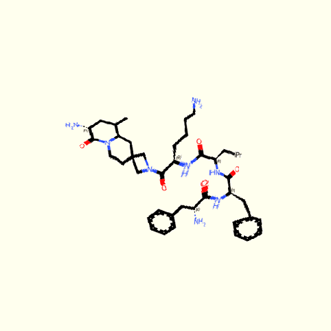 CC(C)C[C@@H](NC(=O)[C@@H](Cc1ccccc1)NC(=O)[C@H](N)Cc1ccccc1)C(=O)N[C@H](CCCCN)C(=O)N1CC2(CCN3C(=O)[C@H](N)CC(C)C3C2)C1